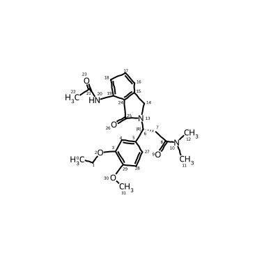 CCOc1cc([C@@H](CC(=O)N(C)C)N2Cc3cccc(NC(C)=O)c3C2=O)ccc1OC